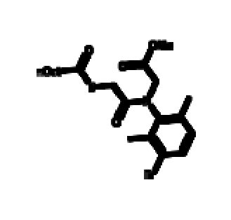 CCCCCCCCC(=O)SCC(=O)N(CC(=O)OC)c1c(C)ccc(Br)c1C